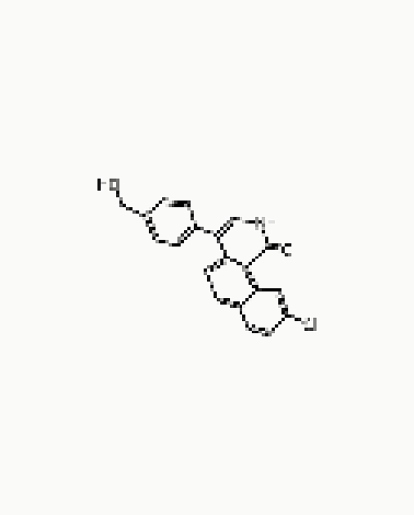 O=c1[nH]cc(-c2ccc(CO)cc2)c2ccc3ccc(Cl)cc3c12